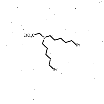 CCOC(=O)CN(CCCCCC(C)C)CCCCCC(C)C